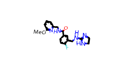 COc1cccc(CNC(=O)c2ccc(F)c(CNC3=NCCN3)c2)n1